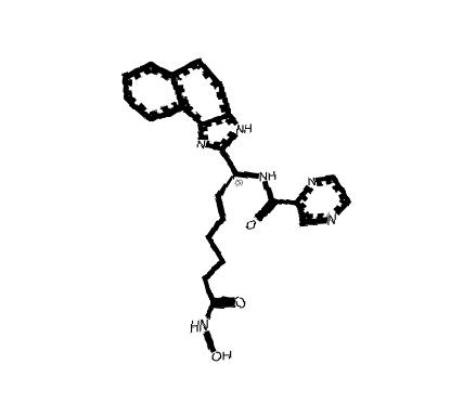 O=C(CCCCC[C@H](NC(=O)c1cnccn1)c1nc2c(ccc3ccccc32)[nH]1)NO